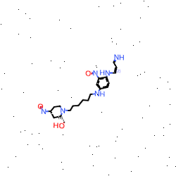 N=C/C=C\Nc1ccc(NCCCCCCN2CCC(N=O)C[C@H]2CO)cc1N=O